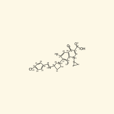 O=C(O)c1cn(C2CC2)c2c(F)c(N3CCC(N=Cc4ccc(Cl)cc4)C3)c(F)cc2c1=O